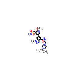 COc1ncc(-c2cc(-c3nnc(CN4CCN(C(C)C)CC4)o3)c3cnn(C)c3c2)cc1CS(N)(=O)=O